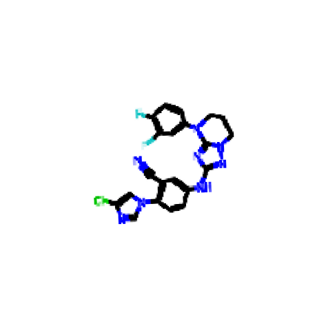 N#Cc1cc(Nc2nc3n(n2)CCCN3c2ccc(F)c(F)c2)ccc1-n1cnc(Cl)c1